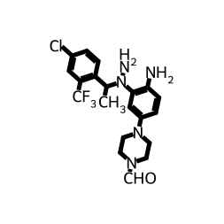 CC(c1ccc(Cl)cc1C(F)(F)F)N(N)c1cc(N2CCN(C=O)CC2)ccc1N